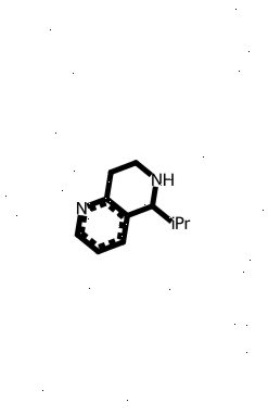 CC(C)C1NCCc2ncccc21